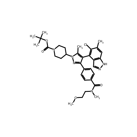 COCCN(C)C(=O)c1ccc(-c2nn(C3CCN(C(=O)OC(C)(C)C)CC3)c(C)c2-c2c(Cl)c(C)cc3[nH]ncc23)cc1